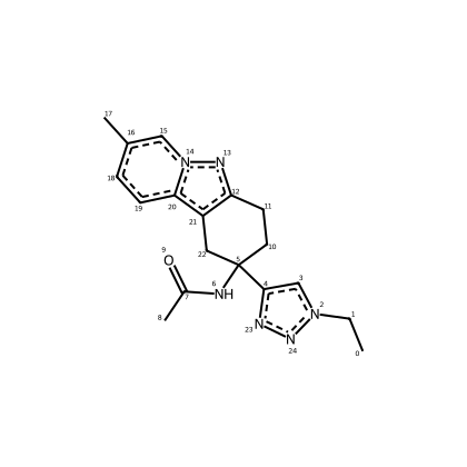 CCn1cc(C2(NC(C)=O)CCc3nn4cc(C)ccc4c3C2)nn1